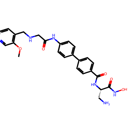 COc1cnccc1CNCC(=O)Nc1ccc(-c2ccc(C(=O)N[C@@H](CN)C(=O)NO)cc2)cc1